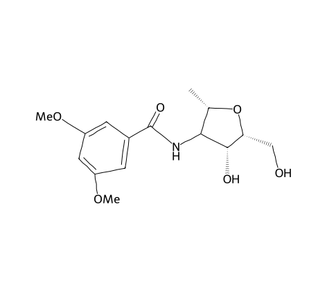 COc1cc(OC)cc(C(=O)NC2[C@H](C)O[C@H](CO)[C@@H]2O)c1